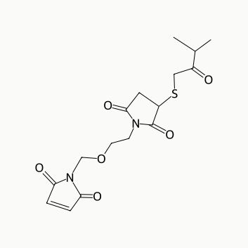 CC(C)C(=O)CSC1CC(=O)N(CCOCN2C(=O)C=CC2=O)C1=O